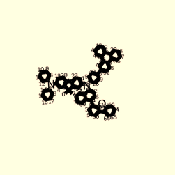 CC1(C)c2cc(N(c3ccccc3)c3ccccc3)ccc2-c2ccc(N(c3ccc(-c4ccc5c6ccccc6c6ccccc6c5c4)cc3)c3ccc(-c4cccc5c4oc4ccccc45)c4ccccc34)cc21